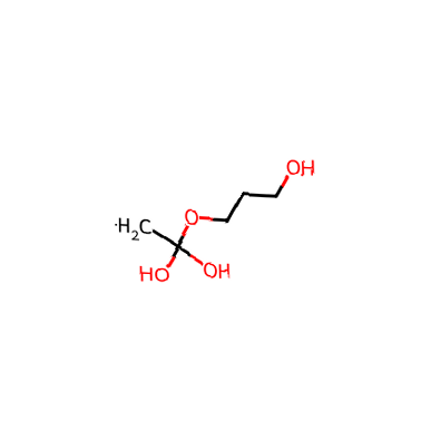 [CH2]C(O)(O)OCCCO